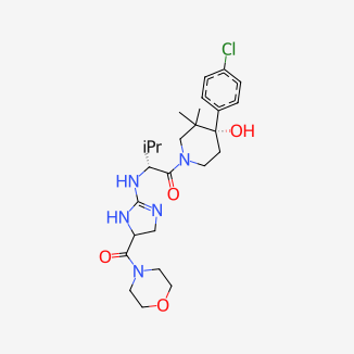 CC(C)[C@@H](NC1=NCC(C(=O)N2CCOCC2)N1)C(=O)N1CC[C@](O)(c2ccc(Cl)cc2)C(C)(C)C1